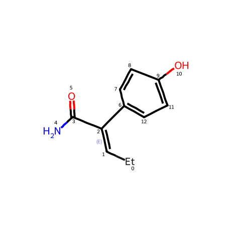 CC/C=C(/C(N)=O)c1ccc(O)cc1